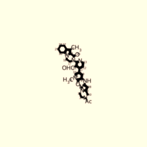 CC(=O)N1CCn2nc(Nc3cc(-c4ccnc(N5CCn6c7c(c(C)c6C5=O)CCCC7)c4C=O)cn(C)c3=O)cc2C1